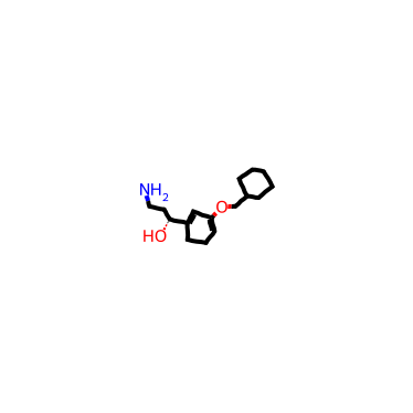 NCC[C@@H](O)C1=CC(OCC2CCCCC2)=CCC1